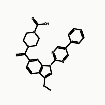 CSc1cn(-c2ncc(-c3ccccc3)cn2)c2cc(C(=O)N3CCN(C(=O)O)CC3)ccc12